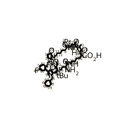 CC(NC(=O)C(NC(=O)CCCCCN1C(=O)C=CC1=O)C(C)C)C(=O)NC(CCCCNC(=O)C(N)CCN(C(=O)CO)C(c1cc(-c2cc(F)ccc2F)cn1Cc1ccccc1)C(C)(C)C)C(=O)O